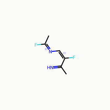 CC(=N)/C(F)=C\N=C(/C)F